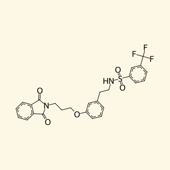 O=C1c2ccccc2C(=O)N1CCCOc1cccc(CCNS(=O)(=O)c2cccc(C(F)(F)F)c2)c1